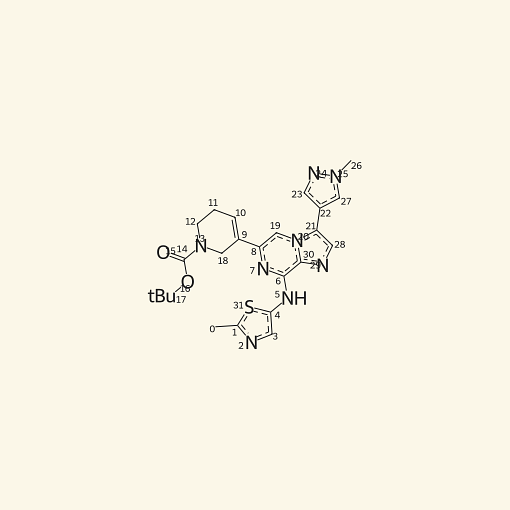 Cc1ncc(Nc2nc(C3=CCCN(C(=O)OC(C)(C)C)C3)cn3c(-c4cnn(C)c4)cnc23)s1